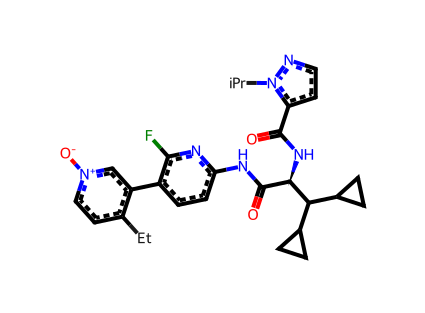 CCc1cc[n+]([O-])cc1-c1ccc(NC(=O)[C@@H](NC(=O)c2ccnn2C(C)C)C(C2CC2)C2CC2)nc1F